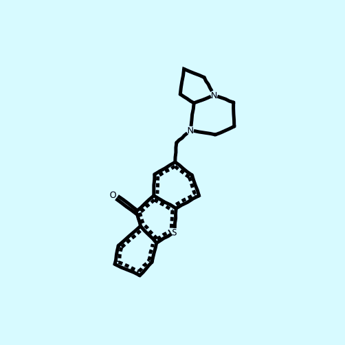 O=c1c2ccccc2sc2ccc(CN3CCCN4CCCC43)cc12